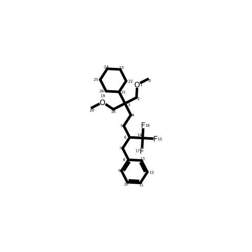 COCC(CCC(Cc1ccccc1)C(F)(F)F)(COC)C1CCCCC1